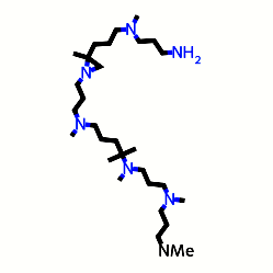 CNCCCN(C)CCCN(C)C(C)(C)CCCN(C)CCCN1CC1(C)CCCN(C)CCCN